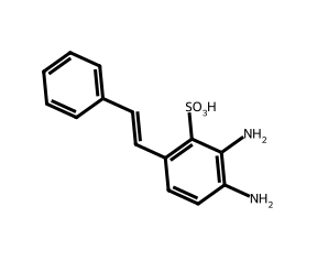 Nc1ccc(C=Cc2ccccc2)c(S(=O)(=O)O)c1N